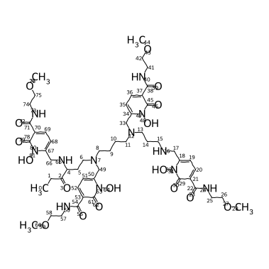 CCC(=O)C(CCN(CCCCN(CCCNCc1ccc(C(=O)NCCOC)c(=O)n1O)Cc1ccc(C(=O)NCCOC)c(=O)n1O)Cc1ccc(C(=O)NCCOC)c(=O)n1O)NCc1ccc(C(=O)NCCOC)c(=O)n1O